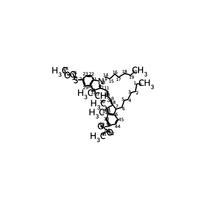 CCCCCCCC1C(=CC=CC2=[N+](CCCCCCC)c3ccc(SOOC)cc3C2(C)C)C(C)(C)c2cc(S(C)(=O)=O)ccc21